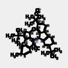 CC1=[C](/[Zr+2](=[C](/C)c2ccc(C)cc2)[CH]2c3cc(C(C)(C)C)ccc3-c3ccc(C(C)(C)C)cc32)C(C)C=C1C(C)(C)C.[Cl-].[Cl-]